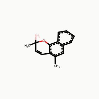 BC1(C)C=Cc2c(C)cc3ccccc3c2O1